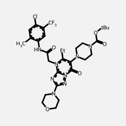 CCc1c(N2CCN(C(=O)OC(C)(C)C)CC2)c(=O)n2nc(N3CCOCC3)nc2n1CC(=O)Nc1cc(C(F)(F)F)c(Cl)cc1C